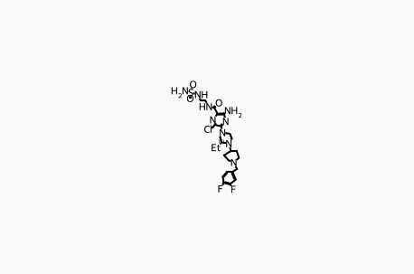 CC[C@H]1CN(c2nc(N)c(C(=O)NCCNS(N)(=O)=O)nc2Cl)CCN1C1CCN(Cc2ccc(F)c(F)c2)CC1